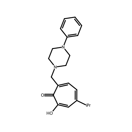 CC(C)c1ccc(CN2CCN(c3ccccc3)CC2)c(=O)c(O)c1